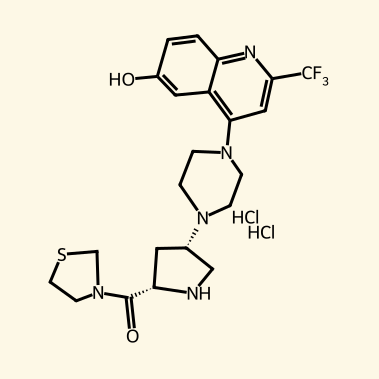 Cl.Cl.O=C([C@@H]1C[C@H](N2CCN(c3cc(C(F)(F)F)nc4ccc(O)cc34)CC2)CN1)N1CCSC1